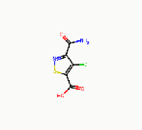 NC(=O)c1nsc(C(=O)O)c1Cl